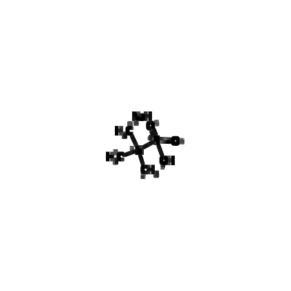 C[Si](C)(C)S(=O)(=O)O.[NaH]